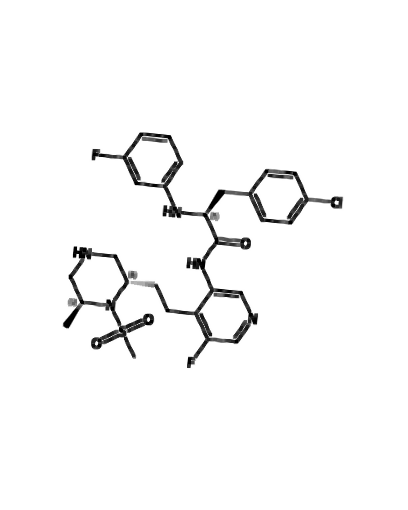 C[C@H]1CNC[C@H](CCc2c(F)cncc2NC(=O)[C@H](Cc2ccc(Cl)cc2)Nc2cccc(F)c2)N1S(C)(=O)=O